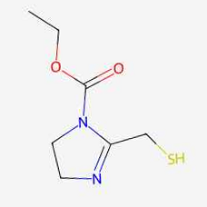 CCOC(=O)N1CCN=C1CS